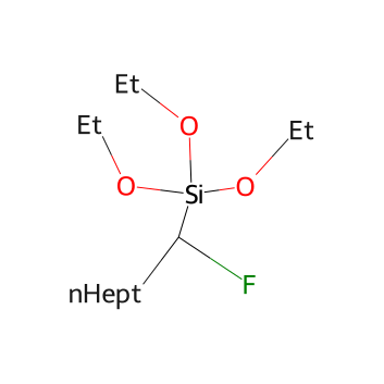 CCCCCCCC(F)[Si](OCC)(OCC)OCC